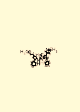 COCCC1C[C@@H](NC(=O)Nc2c(C)c(-c3cnn(C)c3)nn2-c2ccccc2)[C@H](c2ccccc2)C1